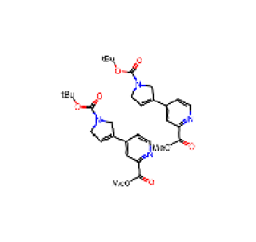 COC(=O)c1cc(C2=CCN(C(=O)OC(C)(C)C)C2)ccn1.COC(=O)c1cc(C2=CCN(C(=O)OC(C)(C)C)C2)ccn1